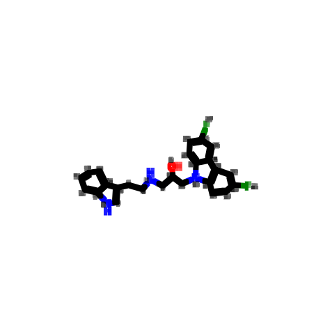 OC(CNCCc1c[nH]c2ccccc12)Cn1c2ccc(F)cc2c2cc(F)ccc21